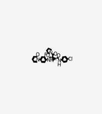 O=C(Nc1ccc(Cl)cc1)[C@H]1C[C@]1(C(=O)Nc1ccc(-n2ccccc2=O)cc1F)C(=O)N1CCCC1